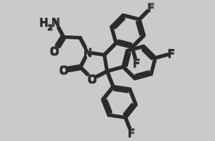 NC(=O)CN1C(=O)OC(c2ccc(F)cc2)(c2ccc(F)cc2)C1c1ccc(F)cc1F